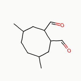 CC1CCC(C)CC(C=O)C(C=O)C1